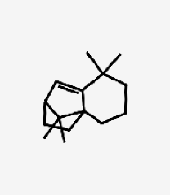 CC1(C)CCCC23CCC(C=C12)C3(C)C